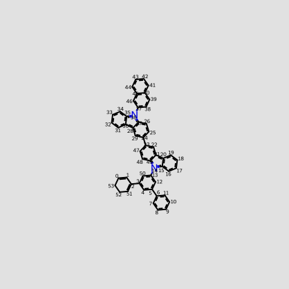 C1=CC(c2cc(-c3ccccc3)cc(-n3c4ccccc4c4cc(-c5ccc6c(c5)c5ccccc5n6-c5ccc6ccccc6c5)ccc43)c2)=CCC1